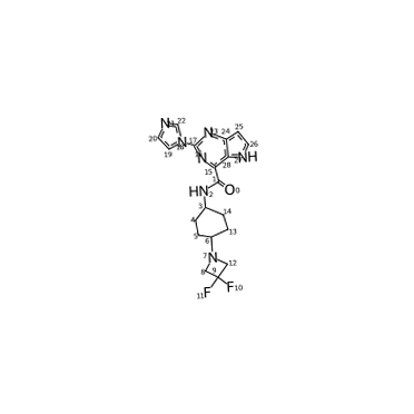 O=C(NC1CCC(N2CC(F)(F)C2)CC1)c1nc(-n2ccnc2)nc2cc[nH]c12